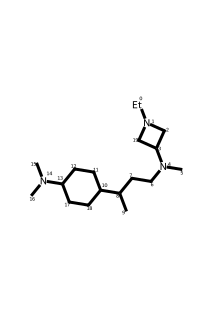 CCN1CC(N(C)CCC(C)C2CCC(N(C)C)CC2)C1